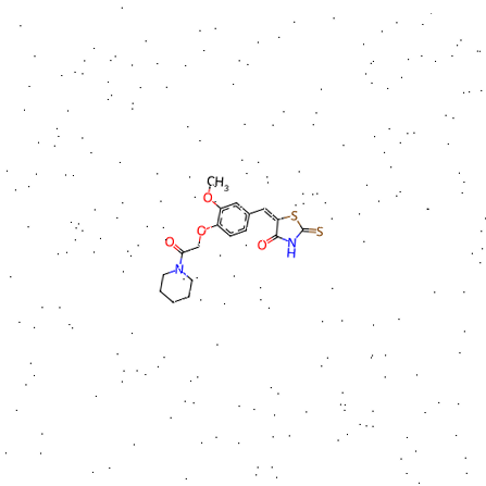 COc1cc(C=C2SC(=S)NC2=O)ccc1OCC(=O)N1CCCCC1